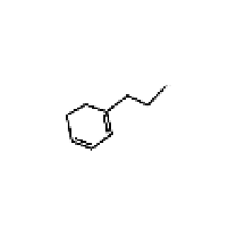 [CH2]CCC1=C[C]=CCC1